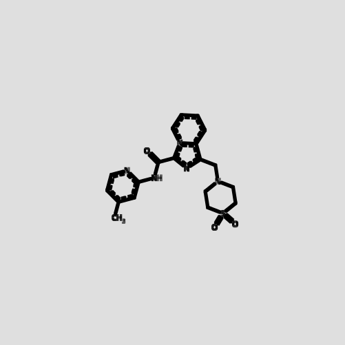 Cc1ccnc(NC(=O)c2nc(CN3CCS(=O)(=O)CC3)c3ccccn23)c1